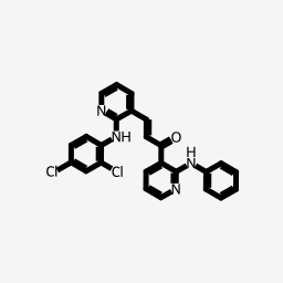 O=C(/C=C/c1cccnc1Nc1ccc(Cl)cc1Cl)c1cccnc1Nc1ccccc1